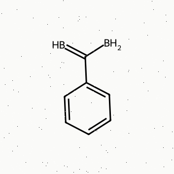 B=C(B)c1ccccc1